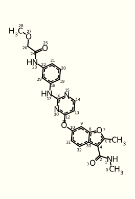 CNC(=O)c1c(C)oc2cc(Oc3ccnc(Nc4cccc(NC(=O)COC)c4)n3)ccc12